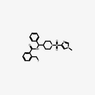 Cn1cnc(S(=O)(=O)N2CCC(C(NC(=O)c3ccccc3CF)c3ccccc3)CC2)c1